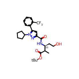 CC(C(=O)OC(C)(C)C)[C@H](CCO)NC(=O)c1cc(-c2ccccc2C(F)(F)F)n(C2CCCC2)n1